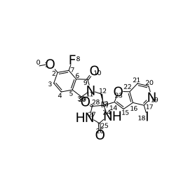 COc1ccc2c(c1F)C(=O)N(C[C@@]1(c3cc4c(I)nccc4o3)NC(=O)NC1=O)C2